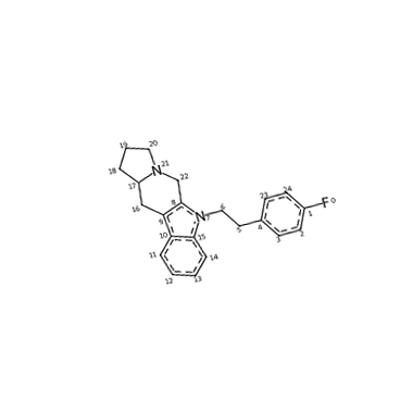 Fc1ccc(CCn2c3c(c4ccccc42)CC2CCCN2C3)cc1